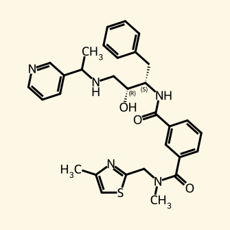 Cc1csc(CN(C)C(=O)c2cccc(C(=O)N[C@@H](Cc3ccccc3)[C@H](O)CNC(C)c3cccnc3)c2)n1